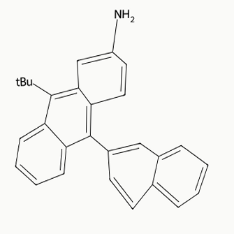 CC(C)(C)c1c2ccccc2c(-c2ccc3ccccc3c2)c2ccc(N)cc12